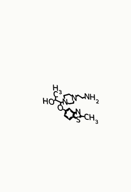 Cc1nc2cc(OC(C(C)O)N3CCN(CCN)CC3)ccc2s1